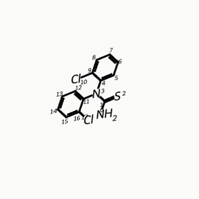 NC(=S)N(c1ccccc1Cl)c1ccccc1Cl